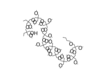 CCCCOCC(COC)(COC)COCC(COC)(COC)COCC(COC)(COC)COCC(COC)(COC)COCC(COC)(COC)COCC(COC)(COC)COCC(COC)(COC)COCC(COC)(COC)COCC(COC)(COC)COCC(CC)(COC)COCC(CC)(CO)COC